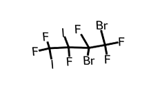 FC(F)(Br)C(F)(Br)C(F)(I)C(F)(F)I